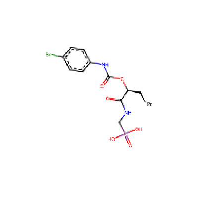 CC(C)C[C@H](OC(=O)Nc1ccc(Br)cc1)C(=O)NCP(=O)(O)O